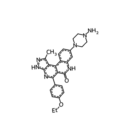 CCOc1ccc(-c2nc3[nH]nc(C)c3c3c2c(=O)[nH]c2cc(N4CCN(N)CC4)ccc23)cc1